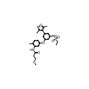 CCS(=O)(=O)Nc1cc(Oc2ccc(C)c(NC(=O)CCOC)c2)cc(-c2c(C)noc2C)c1